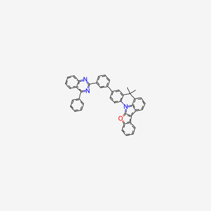 CC1(C)c2cc(-c3cccc(-c4nc(-c5ccccc5)c5ccccc5n4)c3)ccc2-n2c3oc4ccccc4c3c3cccc1c32